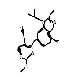 CSc1ncc(C#N)c(-c2cc(F)c3nc(C)n(C(C)C)c3c2)n1